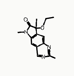 CCOC1(C)C(=O)N(C)c2cc3cnc(C)nc3cc21